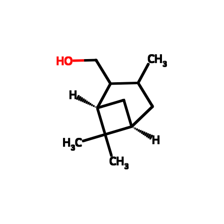 CC1C[C@@H]2C[C@H](C1CO)C2(C)C